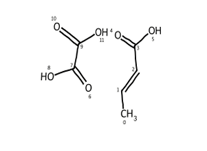 C/C=C/C(=O)O.O=C(O)C(=O)O